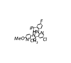 COc1ccc(NC(=O)c2cc(Cl)cnc2Nc2ccc(F)cc2C(C)C)c(C)n1